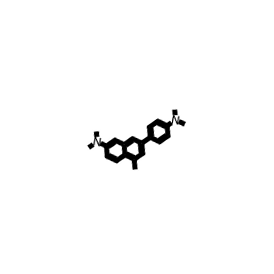 Cc1cc(-c2ccc(N(C)C)cc2)cc2cc(N(C)C)ccc12